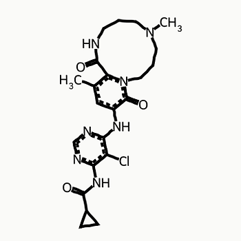 Cc1cc(Nc2ncnc(NC(=O)C3CC3)c2Cl)c(=O)n2c1C(=O)NCCCN(C)CCC2